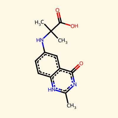 Cc1nc(=O)c2cc(NC(C)(C)C(=O)O)ccc2[nH]1